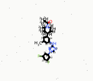 [2H]C([2H])([2H])C(=O)N1C([2H])([2H])C([2H])([2H])C(c2cc(C)cc(Nc3ncn(-c4cc(F)cc(F)c4)n3)c2)C([2H])([2H])C1([2H])[2H]